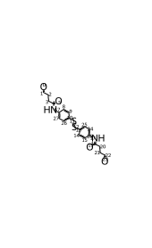 O=CCCC(=O)Nc1ccc(SSc2ccc(NC(=O)CCC=O)cc2)cc1